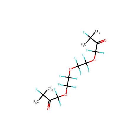 O=C(C(F)(F)OC(F)(F)C(F)(F)OC(F)(F)C(F)(F)OC(F)(F)C(=O)C(F)(C(F)(F)F)C(F)(F)F)C(F)(C(F)(F)F)C(F)(F)F